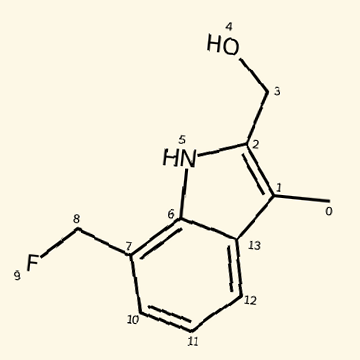 Cc1c(CO)[nH]c2c(CF)cccc12